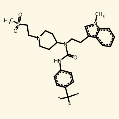 Cn1cc(CCN(C(=O)Nc2ccc(C(F)(F)F)cc2)C2CCN(CCS(C)(=O)=O)CC2)c2ccccc21